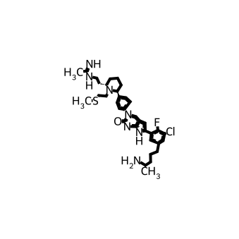 CSCCN1[C@H](CCNC(C)=N)CCC[C@H]1c1ccc(-n2cc3cc(-c4cc(CCC[C@H](C)N)cc(Cl)c4F)[nH]c3nc2=O)cc1